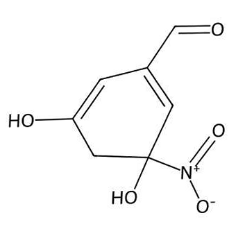 O=CC1=CC(O)([N+](=O)[O-])CC(O)=C1